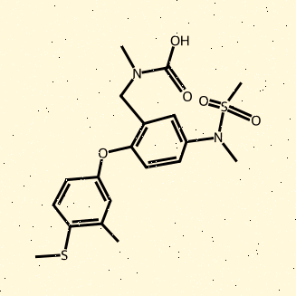 CSc1ccc(Oc2ccc(N(C)S(C)(=O)=O)cc2CN(C)C(=O)O)cc1C